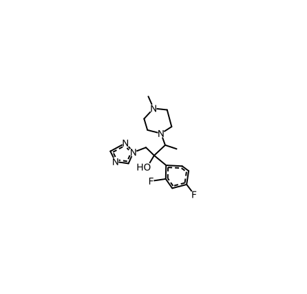 CC(N1CCN(C)CC1)C(O)(Cn1cncn1)c1ccc(F)cc1F